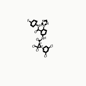 O=C(Nc1ccc(F)cc1)c1cc(NC(=O)[C@H]2[C@H](c3cc(Cl)cc(Cl)c3)C2(Cl)Cl)ccc1-n1cncn1